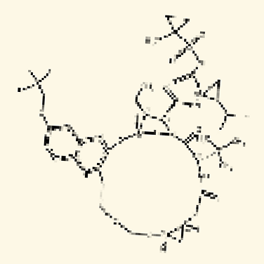 CC[C@@H]1[C@@H]2CN(C(=O)[C@H](C(C)(C)C)NC(=O)O[C@@H]3C[C@H]3CCCCCc3nc4ccc(OCC(F)(F)F)cc4nc3O2)[C@@H]1C(=O)N[C@]1(C(=O)NS(=O)(=O)C2(C)CC2)CC1C(F)F